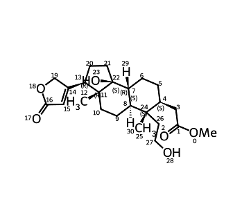 COC(=O)C[C@@H]1CC[C@@H]2[C@H](CC[C@]3(C)[C@@H](C4=CC(=O)OC4)CC[C@]23O)[C@@]1(C)CCO